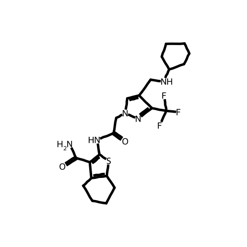 NC(=O)c1c(NC(=O)Cn2cc(CNC3CCCCC3)c(C(F)(F)F)n2)sc2c1CCCC2